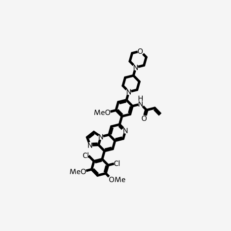 C=CC(=O)Nc1cc(-c2cc3c(cn2)cc(-c2c(Cl)c(OC)cc(OC)c2Cl)c2nccn23)c(OC)cc1N1CCC(N2CCOCC2)CC1